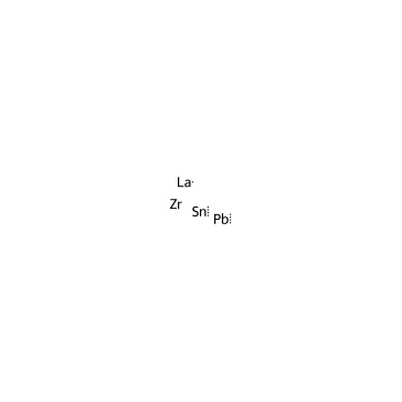 [La].[Pb].[Sn].[Zr]